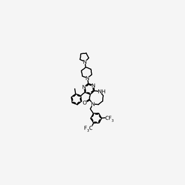 Cc1ccccc1-c1nc(N2CCC(N3CCCC3)CC2)nc2c1C(=O)N(Cc1cc(C(F)(F)F)cc(C(F)(F)F)c1)CCCN2